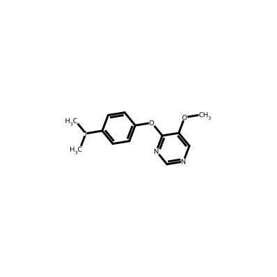 COc1cncnc1Oc1ccc(I(C)C)cc1